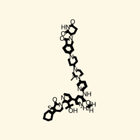 [2H]C([2H])([2H])Oc1ncc(-c2ccnc(N3CCc4c(sc5c4CCCC5)C3=O)c2C(C)(C)O)cc1Nc1ccc(N2CCN(C3CCN(c4ccc5c(c4)CN([C@H]4CCC(=O)NC4=O)C5=O)CC3)C[C@@H]2C)cn1